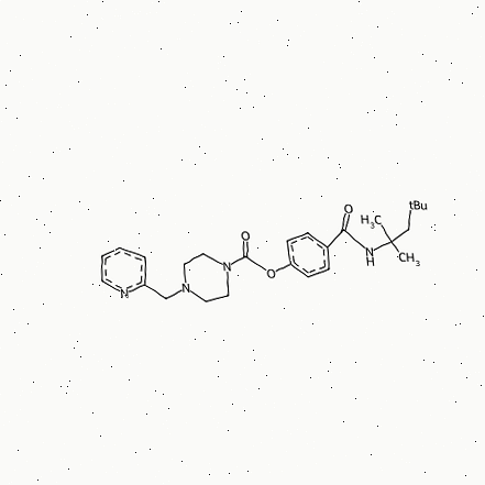 CC(C)(C)CC(C)(C)NC(=O)c1ccc(OC(=O)N2CCN(Cc3ccccn3)CC2)cc1